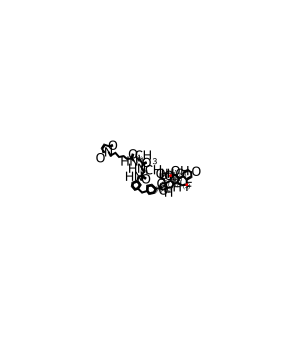 C[C@H](NC(=O)CCCCCN1C(=O)C=CC1=O)C(=O)N[C@@H](C)C(=O)Nc1cccc(Cc2ccc([C@@H]3O[C@@H]4CC5C(C[C@H](O)[C@@]6(F)[C@H]5C[C@H](F)C5=CC(=O)C=C[C@@]56C)[C@]4(C(=O)CO)O3)cc2)c1